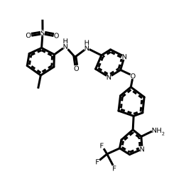 Cc1ccc(S(C)(=O)=O)c(NC(=O)Nc2cnc(Oc3ccc(-c4cc(C(F)(F)F)cnc4N)cc3)nc2)c1